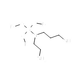 CCO[Si](OCC)(OCC)N(CCN)CCCN